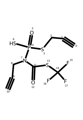 C#CCSP(=O)(S)N(CC#C)C(=O)SC(F)(F)F